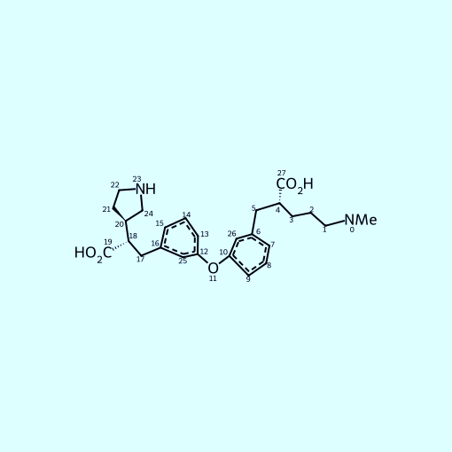 CNCCC[C@H](Cc1cccc(Oc2cccc(C[C@H](C(=O)O)[C@H]3CCNC3)c2)c1)C(=O)O